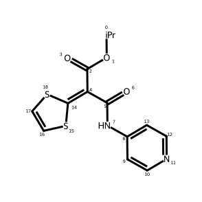 CC(C)OC(=O)C(C(=O)Nc1ccncc1)=C1SC=CS1